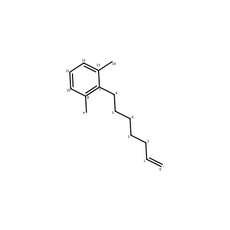 [CH]=CCCCCCc1c(C)cccc1C